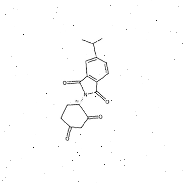 CC(C)c1ccc2c(c1)C(=O)N([C@H]1CCC(=O)CC1=O)C2=O